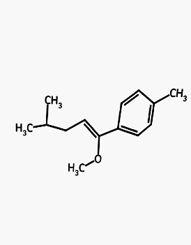 COC(=CCC(C)C)c1ccc(C)cc1